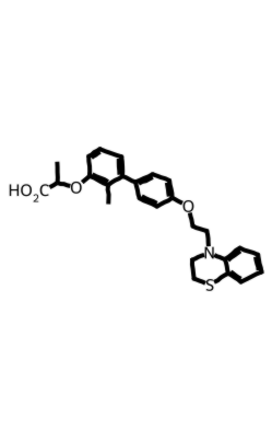 Cc1c(OC(C)C(=O)O)cccc1-c1ccc(OCCN2CCSc3ccccc32)cc1